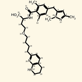 Cc1cc(Cc2cc(C)c(C(=O)NC(CCOCCCCc3ccc4c(n3)NCCC4)C(=O)O)c(F)c2)n(C)n1